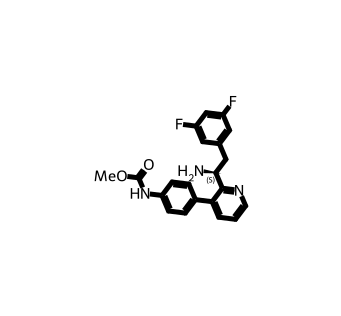 COC(=O)Nc1ccc(-c2cccnc2[C@@H](N)Cc2cc(F)cc(F)c2)cc1